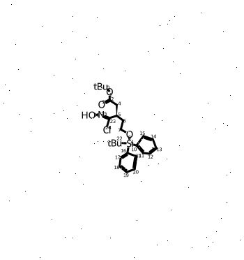 CC(C)(C)OC(=O)C[C@@H](CCO[Si](c1ccccc1)(c1ccccc1)C(C)(C)C)/C(Cl)=N/O